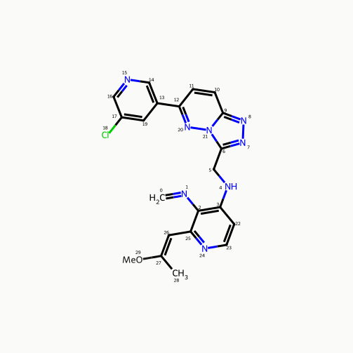 C=Nc1c(NCc2nnc3ccc(-c4cncc(Cl)c4)nn23)ccnc1/C=C(\C)OC